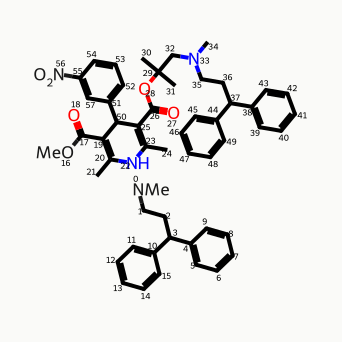 CNCCC(c1ccccc1)c1ccccc1.COC(=O)C1=C(C)NC(C)=C(C(=O)OC(C)(C)CN(C)CCC(c2ccccc2)c2ccccc2)C1c1cccc([N+](=O)[O-])c1